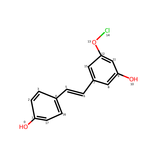 Oc1ccc(/C=C/c2cc(O)cc(OCl)c2)cc1